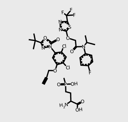 C#CCOc1cc(-n2nc(C(C)(C)C)oc2=O)c(Cl)cc1Cl.CC(C)N(C(=O)COc1nnc(C(F)(F)F)s1)c1ccc(F)cc1.CP(=O)(O)CCC(N)C(=O)O